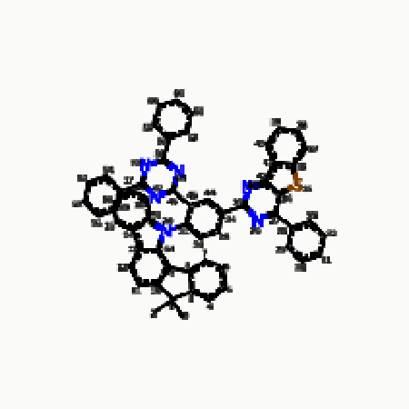 CC1(C)c2ccccc2-c2c1ccc1c3ccccc3n(-c3ccc(-c4nc(-c5ccccc5)c5sc6ccccc6c5n4)cc3-c3nc(-c4ccccc4)nc(-c4ccccc4)n3)c21